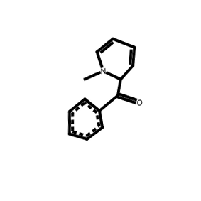 CN1C=CC=CC1C(=O)c1ccccc1